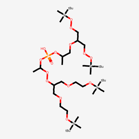 CC(COC(COO[Si](C)(C)C(C)(C)C)COO[Si](C)(C)C(C)(C)C)OP(=O)(O)OC(C)OOC(COCCO[Si](C)(C)C(C)(C)C)COCCO[Si](C)(C)C(C)(C)C